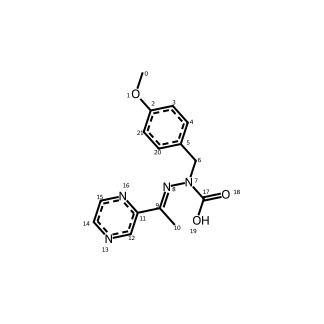 COc1ccc(CN(N=C(C)c2cnccn2)C(=O)O)cc1